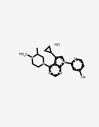 CC1CN(c2ncnc3c2c(C2CC2)cn3-c2cc(C#N)ccn2)CCN1C(=O)O.Cl